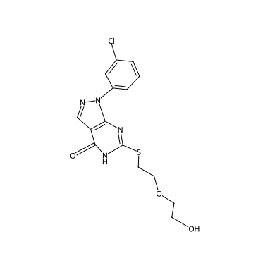 O=c1[nH]c(SCCOCCO)nc2c1cnn2-c1cccc(Cl)c1